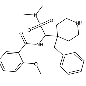 COc1ccccc1C(=O)NC(C1(Cc2ccccc2)CCNCC1)S(=O)(=O)N(C)C